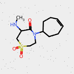 CNC1CS(=O)(=O)CCN(C2CCC=CCC2)C1=O